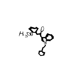 COc1ccccc1CC(=O)c1cn(CCC2CCCCC2)c2ccccc12